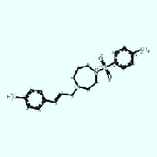 Cc1ccc(C=CCN2CCCN(S(=O)(=O)c3ccc(C)cc3)CC2)cc1